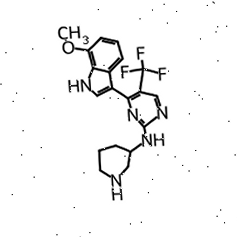 COc1cccc2c(-c3nc(NC4CCCNC4)ncc3C(F)(F)F)c[nH]c12